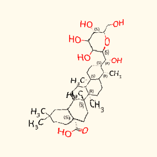 C[C@@H]1C2CC[C@]3(C)C(CC=C4C5CC(C)(C)CC[C@]5(C(=O)O)CC[C@]43C)[C@@]2(C)CC[C@@H]1[C@@H](O)[C@@H]1OC(CO)[C@@H](O)C(O)C1O